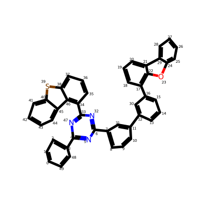 c1ccc(-c2nc(-c3cccc(-c4cccc(-c5cccc6c5oc5ccccc56)c4)c3)nc(-c3cccc4sc5ccccc5c34)n2)cc1